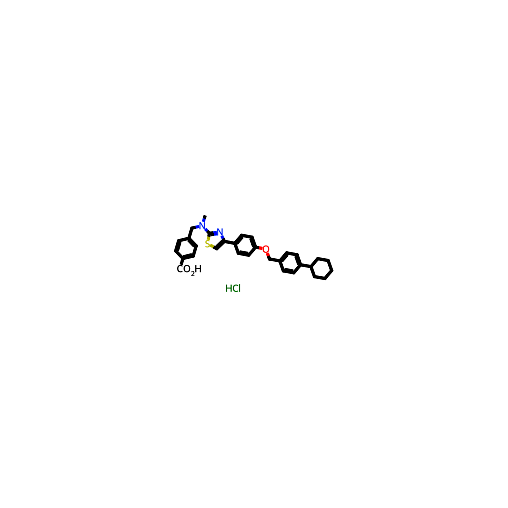 CN(Cc1ccc(C(=O)O)cc1)c1nc(-c2ccc(OCc3ccc(C4CCCCC4)cc3)cc2)cs1.Cl